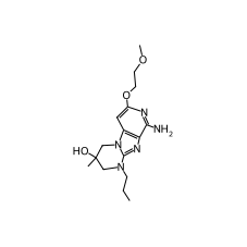 CCCN1CC(C)(O)Cn2c1nc1c(N)nc(OCCOC)cc12